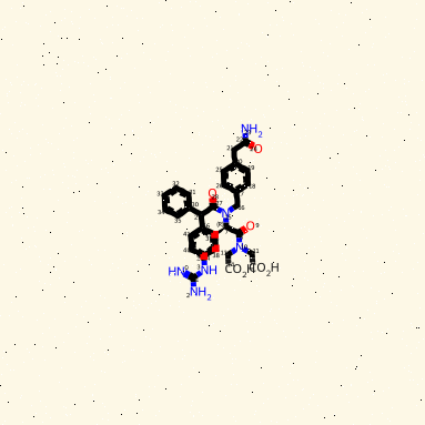 N=C(N)NCCC[C@H](C(=O)N(CC(=O)O)CC(=O)O)N(Cc1ccc(CC(N)=O)cc1)C(=O)C(c1ccccc1)c1ccccc1